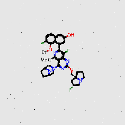 CCOc1c(F)ccc2cc(O)cc(-c3nc(OC)c4c(N5CC6CCC(C5)N6)nc(OC[C@@]56CCCN5C[C@H](F)C6)nc4c3F)c12